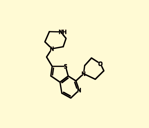 c1cc2cc(CN3CCNCC3)sc2c(N2CCOCC2)n1